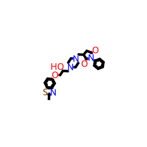 Cc1nc2cc(OC[C@H](O)CN3CCN(CC4CC(=O)N(c5ccccc5)C4=O)CC3)ccc2s1